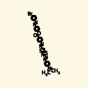 CCN(CC)c1ccc(N=Nc2nc3sc(N=Nc4ccc(C(=O)Oc5ccc(N=Nc6ccc(Br)cc6)cc5)cc4)cc3s2)cc1